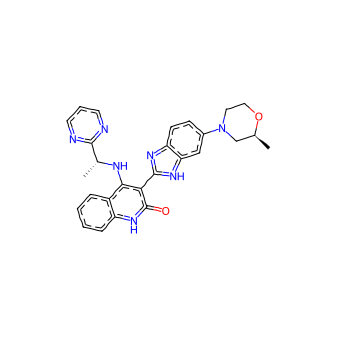 C[C@H]1CN(c2ccc3nc(-c4c(N[C@H](C)c5ncccn5)c5ccccc5[nH]c4=O)[nH]c3c2)CCO1